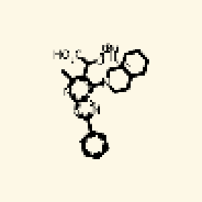 Cc1nc2nc(-c3ccccc3)nn2c(N2CCC3CCCC[C@@H]3C2)c1C(OC(C)(C)C)C(=O)O